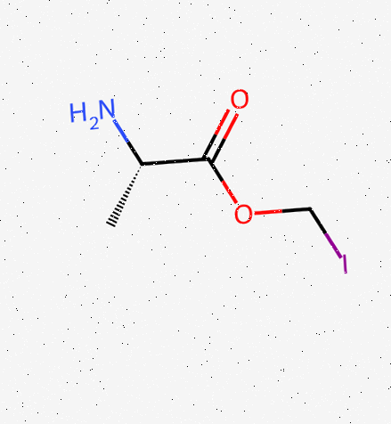 C[C@H](N)C(=O)OCI